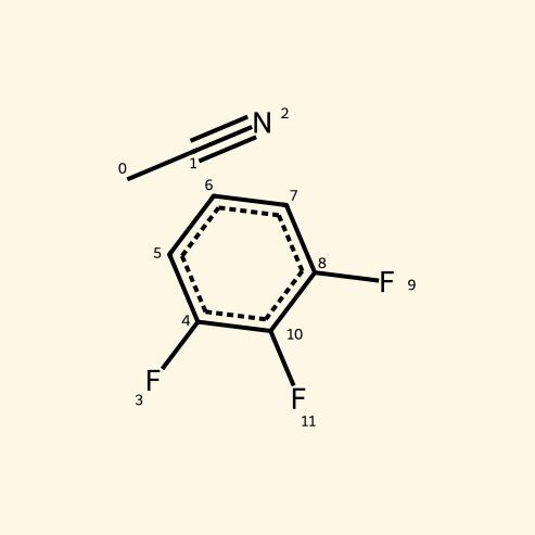 CC#N.Fc1cccc(F)c1F